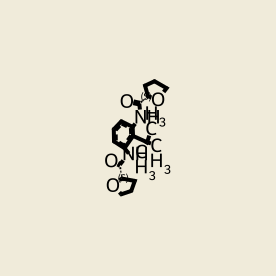 CC(C)(C)c1c(NC(=O)[C@@H]2CCCO2)cccc1NC(=O)[C@@H]1CCCO1